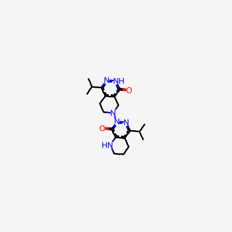 CC(C)c1n[nH]c(=O)c2c1CCN(n1nc(C(C)C)c3c(c1=O)NCCC3)C2